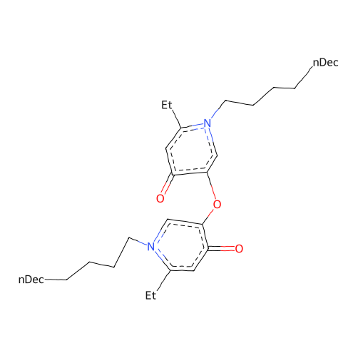 CCCCCCCCCCCCCCn1cc(Oc2cn(CCCCCCCCCCCCCC)c(CC)cc2=O)c(=O)cc1CC